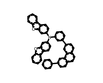 c1ccc(-c2ccc3ccc4ccc(-c5cccc(N(c6ccc7c(c6)oc6ccccc67)c6ccc7c(c6)oc6ccccc67)c5)cc4c3c2)cc1